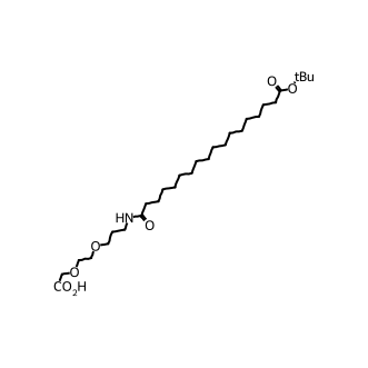 CC(C)(C)OC(=O)CCCCCCCCCCCCCCCCC(=O)NCCCOCCOCC(=O)O